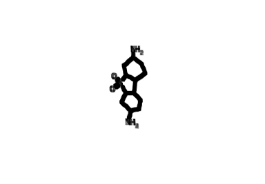 NC1CCC2C3CCC(N)CC3S(=O)(=O)C2C1